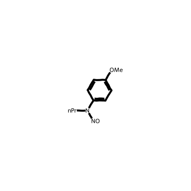 CCCN(N=O)c1ccc(OC)cc1